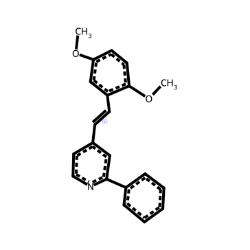 COc1ccc(OC)c(/C=C/c2ccnc(-c3ccccc3)c2)c1